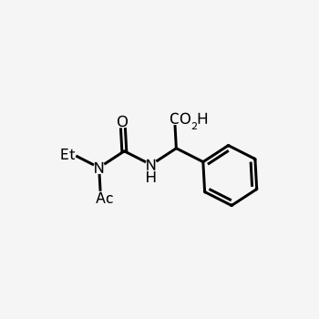 CCN(C(C)=O)C(=O)NC(C(=O)O)c1ccccc1